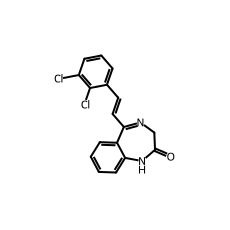 O=C1CN=C(C=Cc2cccc(Cl)c2Cl)c2ccccc2N1